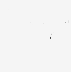 CC(=O)NC1CCN(C[C@@H]2OCCNC[C@H]2c2ccc(Cl)c(Cl)c2)CC1